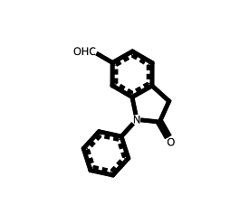 O=Cc1ccc2c(c1)N(c1ccccc1)C(=O)C2